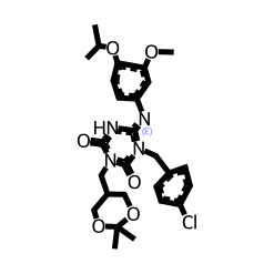 COc1cc(/N=c2\[nH]c(=O)n(CC3COC(C)(C)OC3)c(=O)n2Cc2ccc(Cl)cc2)ccc1OC(C)C